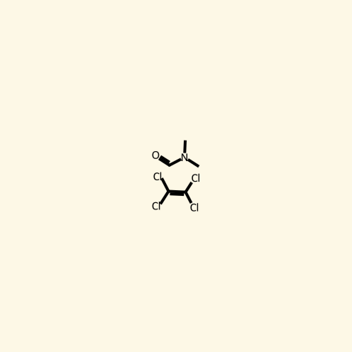 CN(C)C=O.ClC(Cl)=C(Cl)Cl